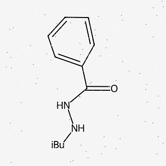 CCC(C)NNC(=O)c1ccccc1